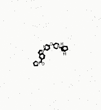 O=C(c1ccc2c(ccn2-c2ccc(OC3CCN(C4C[C@H]5CC[C@H]4C5)CC3)cn2)c1)N1CCCC1